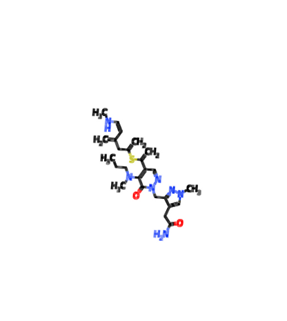 C=C(/C=C\NC)CC(=C)SC(=C)c1cnn(Cc2nn(C)cc2CC(N)=O)c(=O)c1N(C)CCC